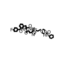 CC(C)c1c(/C=c2\[nH]c(=O)/c(=C/c3cccc(C(=O)c4ccc(F)cc4)c3)[nH]c2=O)ncn1CCCN1CCN(C(=O)NC2CCCCC2)CC1